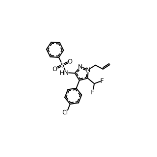 C=CCn1nc(NS(=O)(=O)c2ccccc2)c(-c2ccc(Cl)cc2)c1C(F)F